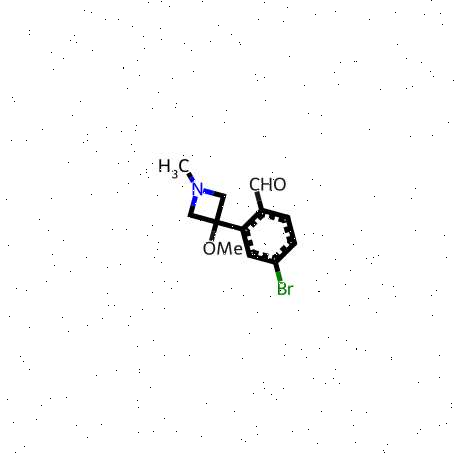 COC1(c2cc(Br)ccc2C=O)CN(C)C1